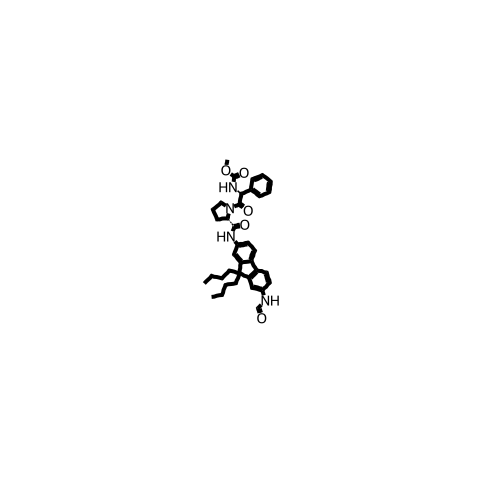 CCCCC1(CCCC)c2cc(NC=O)ccc2-c2ccc(NC(=O)[C@@H]3CCCN3C(=O)[C@H](NC(=O)OC)c3ccccc3)cc21